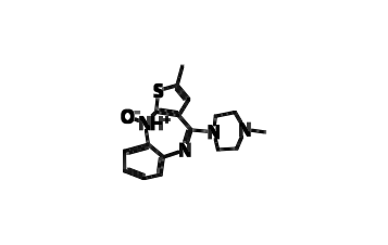 Cc1cc2c(s1)[NH+]([O-])c1ccccc1N=C2N1CCN(C)CC1